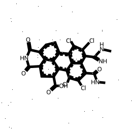 CNC(=N)c1c(Cl)c(Cl)c2c3ccc4c5c(cc(C(=O)O)c(c6c(Cl)c(Cl)c(C(=O)NC)c1c26)c53)C(=O)NC4=O